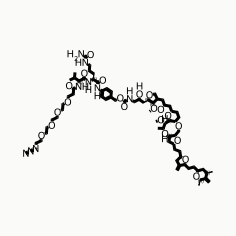 C=C1CC(CCC2C[C@H]3OC(C)C(OC)[C@H]4OC(CC(=O)CC5CO[C@H](CC(O)CNC(=O)OCc6ccc(NC(=O)[C@H](CCCNC(N)=O)NC(=O)[C@@H](NC(=O)CCOCCOCCOCCOCCN=[N+]=[N-])C(C)C)cc6)[C@@H]5OC)CCC4OCC3O2)OC1CCC1C[C@@H](C)C(=C)[C@@H](C)O1